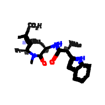 CN[C@@H](C(=O)N[C@H](C(=O)N(C)[C@H](/C=C(\C)C(=O)O)C(C)C)C(C)(C)C)c1cc2ccccc2[nH]1